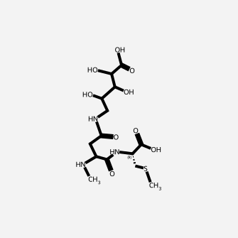 CNC(CC(=O)NCC(O)C(O)C(O)C(=O)O)C(=O)N[C@@H](CSC)C(=O)O